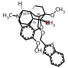 COc1ccc2c3c1O[C@H]1C4(OC)CC[C@@]5(C[C@]4(C)COCc4cc6ccccc6s4)[C@@H](C2)N(C)CC[C@]315